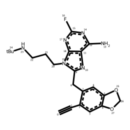 C#Cc1cc2c(cc1Cc1nc3c(N)nc(F)nc3n1CCCNC(C)(C)C)OCO2